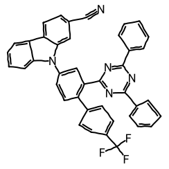 N#Cc1ccc2c3ccccc3n(-c3ccc(-c4ccc(C(F)(F)F)cc4)c(-c4nc(-c5ccccc5)nc(-c5ccccc5)n4)c3)c2c1